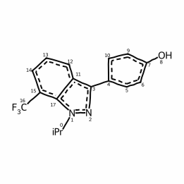 CC(C)n1nc(-c2ccc(O)cc2)c2cccc(C(F)(F)F)c21